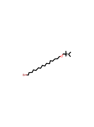 C[SiH](C)C(C)(C)COCCCCCCCCCCCCCCCCBr